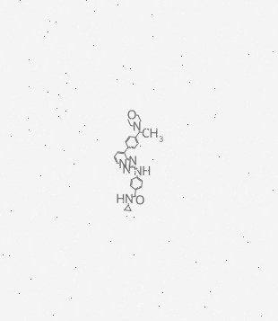 CC(c1ccc(-c2cccn3nc(Nc4ccc(C(=O)NC5CC5)cc4)nc23)cc1)N1CCOCC1